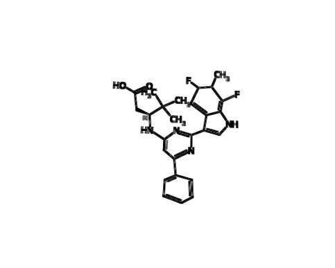 CC1C(F)=c2[nH]cc(-c3nc(N[C@@H](CC(=O)O)C(C)(C)C)cc(-c4ccccc4)n3)c2=CC1F